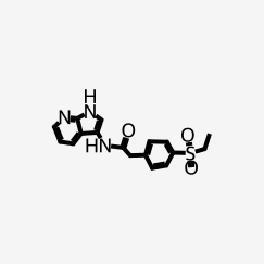 CCS(=O)(=O)c1ccc(CC(=O)Nc2c[nH]c3ncccc23)cc1